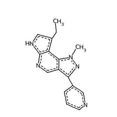 CCc1c[nH]c2ncc3c(-c4cccnc4)nn(C)c3c12